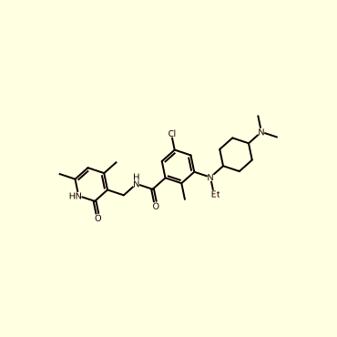 CCN(c1cc(Cl)cc(C(=O)NCc2c(C)cc(C)[nH]c2=O)c1C)C1CCC(N(C)C)CC1